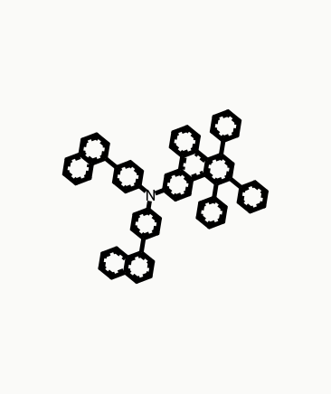 c1ccc(-c2cc(-c3ccccc3)c3c4ccccc4c4cc(N(c5ccc(-c6cccc7ccccc67)cc5)c5ccc(-c6cccc7ccccc67)cc5)ccc4c3c2-c2ccccc2)cc1